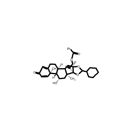 CC(C)C(=O)OCC(=O)[C@@]12OC(C3CCCCC3)O[C@@H]1CC1[C@@H]3CCC4=CC(=O)C=C[C@]4(C)[C@H]3[C@@H](O)C[C@@]12C